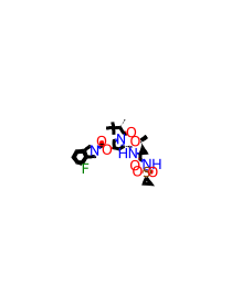 C=C[C@@H]1C[C@]1(NC(=O)[C@@H]1C[C@@H](OC(=O)N2Cc3cccc(F)c3C2)CN1C(=O)[C@@H](C)C(C)(C)C)C(=O)NS(=O)(=O)C1CC1